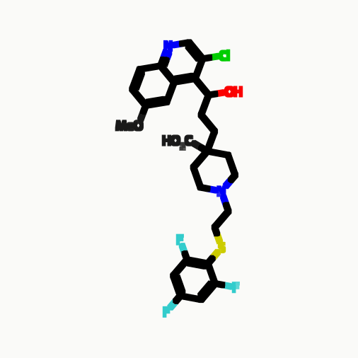 COc1ccc2ncc(Cl)c(C(O)CCC3(C(=O)O)CCN(CCSc4c(F)cc(F)cc4F)CC3)c2c1